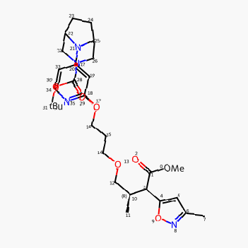 COC(=O)C(c1cc(C)no1)[C@@H](C)COCCCOc1cc(N2C3CCC2CN(C(=O)OC(C)(C)C)C3)ccn1